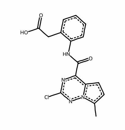 Cc1ccc2c(C(=O)Nc3ccccc3CC(=O)O)nc(Cl)nn12